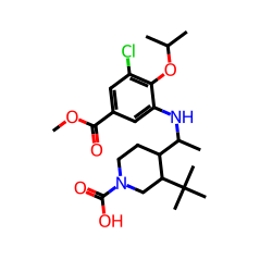 COC(=O)c1cc(Cl)c(OC(C)C)c(NC(C)C2CCN(C(=O)O)CC2C(C)(C)C)c1